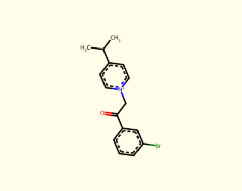 CC(C)c1cc[n+](CC(=O)c2cccc(Br)c2)cc1